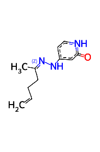 C=CCC/C(C)=N\Nc1cc[nH]c(=O)c1